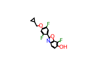 Oc1ccc2nc(-c3cc(F)c(OCC4CC4)cc3F)oc2c1F